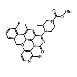 Cc1cc2c(N3CCN(C(=O)OC(C)(C)C)C[C@@H]3C)nc(=O)n(-c3c(C)ccnc3C(C)C)c2c2c1-c1c(F)cccc1CO2